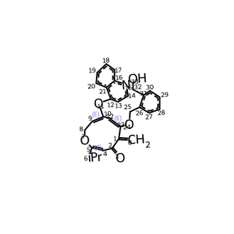 C=C1C(=O)/C=C(/C(C)C)OC/C=C(Oc2ccnc3ccccc23)\C=C/1OCc1ccccc1CO